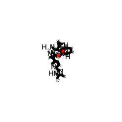 Cc1nc(-c2ccc(-c3cnn4c(N)c(C5CC5)c(C5C[C@H]6CC[C@@H](C5)N6C(=O)CO)nc34)cn2)[nH]c1C